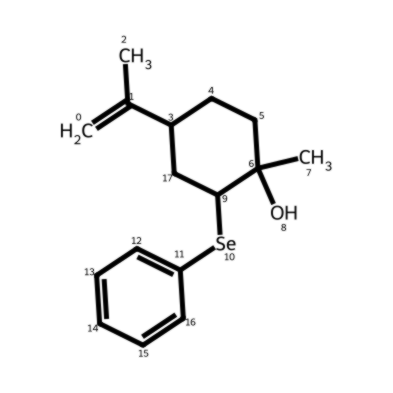 C=C(C)C1CCC(C)(O)C([Se]c2ccccc2)C1